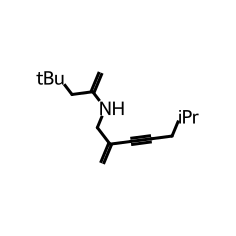 C=C(C#CCC(C)C)CNC(=C)CC(C)(C)C